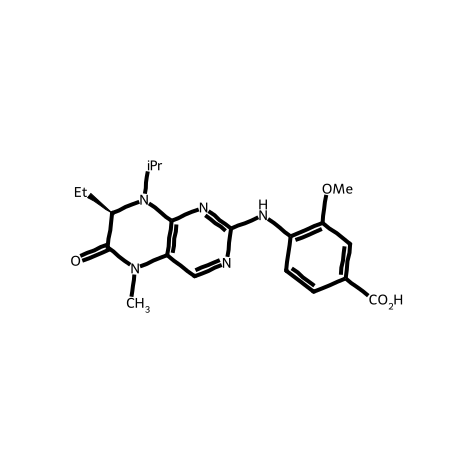 CC[C@@H]1C(=O)N(C)c2cnc(Nc3ccc(C(=O)O)cc3OC)nc2N1C(C)C